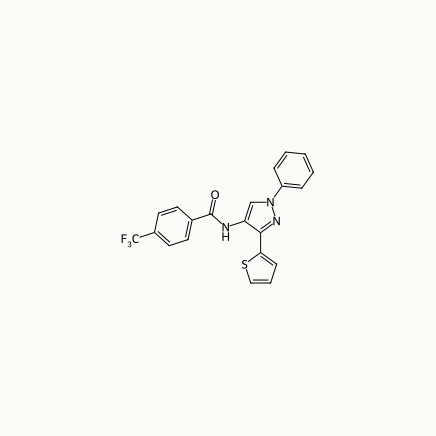 O=C(Nc1cn(-c2ccccc2)nc1-c1cccs1)c1ccc(C(F)(F)F)cc1